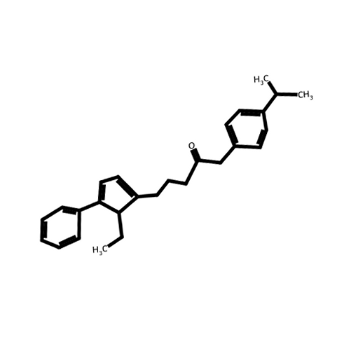 CCC1C(CCCC(=O)Cc2ccc(C(C)C)cc2)=CC=C1c1ccccc1